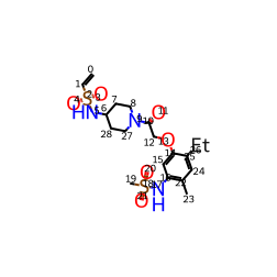 C=CS(=O)(=O)NC1CCN(C(=O)COc2cc(NS(C)(=O)=O)c(C)cc2CC)CC1